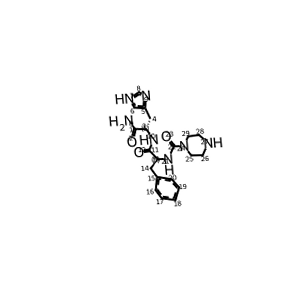 NC(=O)[C@H](Cc1c[nH]cn1)NC(=O)[C@H](Cc1ccccc1)NC(=O)N1CCNCC1